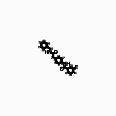 O=C(Cc1ccc(NC(=O)c2cccc(F)c2)cc1)NCc1ccccc1